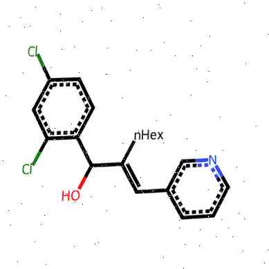 CCCCCC/C(=C\c1cccnc1)C(O)c1ccc(Cl)cc1Cl